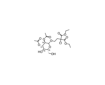 CCOC(=O)C(Cl)(CCOC1O[C@H](CO)[C@@H](O)[C@H](OC(C)=O)[C@H]1OC(C)=O)C(=O)OCC